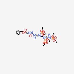 CCOP(=O)(CNCCN(CCN(CCNCC(=O)NCC(=O)OCc1ccccc1)CP(=O)(OCC)OCC)CP(=O)(OCC)OCC)OCC